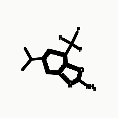 CC(C)c1cc(C(F)(F)F)c2oc(N)nc2c1